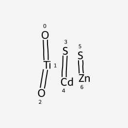 [O]=[Ti]=[O].[S]=[Cd].[S]=[Zn]